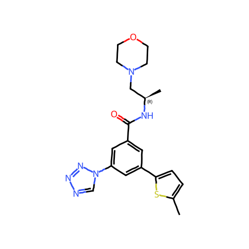 Cc1ccc(-c2cc(C(=O)N[C@H](C)CN3CCOCC3)cc(-n3cnnn3)c2)s1